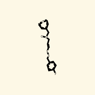 [O-][S+](C/C=C/SSCc1ccc(F)cc1)Cc1ccccc1